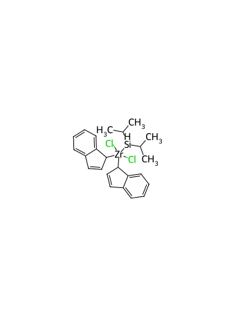 CC(C)[SiH](C(C)C)[Zr]([Cl])([Cl])([CH]1C=Cc2ccccc21)[CH]1C=Cc2ccccc21